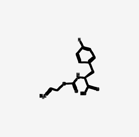 C=CCOC(=O)N[C@@H](Cc1ccc(F)cc1)C(=O)O